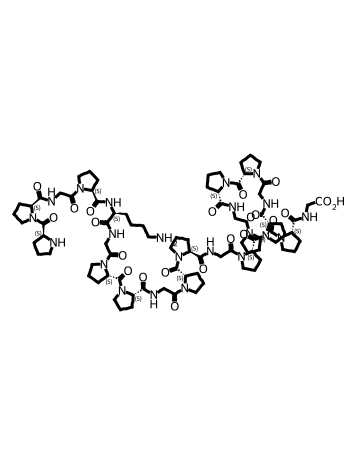 NCCCC[C@H](NC(=O)[C@@H]1CCCN1C(=O)CNC(=O)[C@@H]1CCCN1C(=O)[C@@H]1CCCN1)C(=O)NCC(=O)N1CCC[C@H]1C(=O)N1CCC[C@H]1C(=O)NCC(=O)N1CCC[C@H]1C(=O)N1CCC[C@H]1C(=O)NCC(=O)N1CCC[C@H]1C(=O)N1CCC[C@H]1C(=O)NCC(=O)N1CCC[C@H]1C(=O)N1CCC[C@H]1C(=O)NCC(=O)N1CCC[C@H]1C(=O)N1CCC[C@H]1C(=O)NCC(=O)O